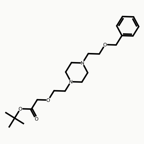 CC(C)(C)OC(=O)COCCN1CCN(CCOCc2ccccc2)CC1